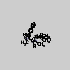 C=C/C=N\C1=C(CC/C=C(C#N)\C(=C/C=C)O[C@H]2CCN(C(=O)OC(C)(C)C)C2)C[C@@H](c2ccc(N3CCOCC3)cc2)N1